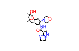 CC(C)(O)CC1(C)Cc2cc(NC(=O)c3cnn4cccnc34)c(N3CCOCC3)cc2O1